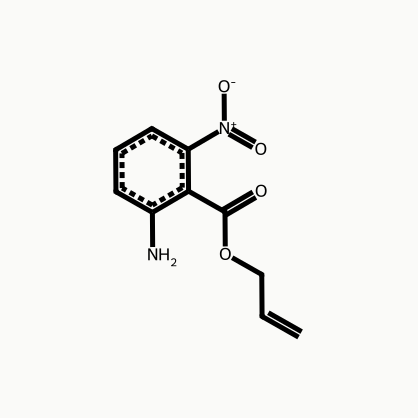 C=CCOC(=O)c1c(N)cccc1[N+](=O)[O-]